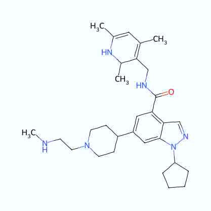 CNCCN1CCC(c2cc(C(=O)NCC3=C(C)C=C(C)NC3C)c3cnn(C4CCCC4)c3c2)CC1